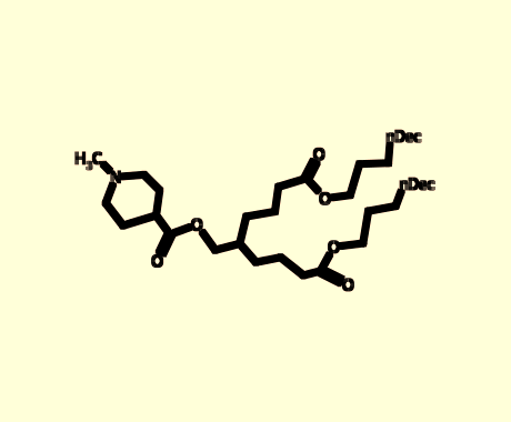 CCCCCCCCCCCCCOC(=O)CCCC(CCCC(=O)OCCCCCCCCCCCCC)COC(=O)C1CCN(C)CC1